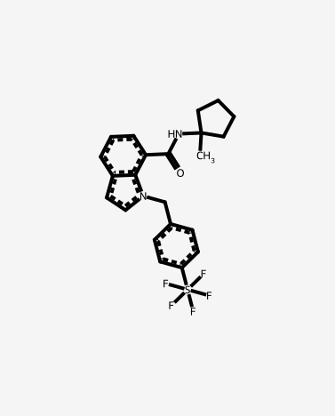 CC1(NC(=O)c2cccc3ccn(Cc4ccc(S(F)(F)(F)(F)F)cc4)c23)CCCC1